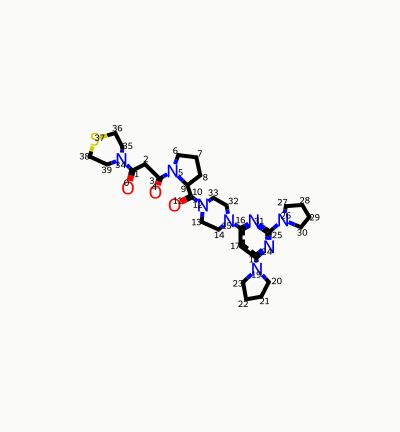 O=C(CC(=O)N1CCCC1C(=O)N1CCN(c2cc(N3CCCC3)nc(N3CCCC3)n2)CC1)N1CCSCC1